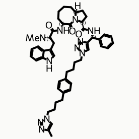 CN[C@@H](Cc1c[nH]c2ccccc12)C(=O)N[C@H]1CCCC[C@H]2CC[C@@H](C(=O)N[C@H](c3ccccc3)c3cn(CCCCc4ccc(CCCCn5cc(C)nn5)cc4)nn3)N2C1=O